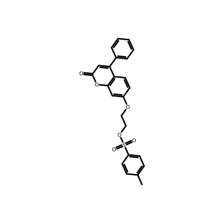 Cc1ccc(S(=O)(=O)OCCOc2ccc3c(-c4ccccc4)cc(=O)oc3c2)cc1